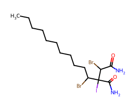 CCCCCCCCCCC(Br)C(I)(C(N)=O)C(Br)C(N)=O